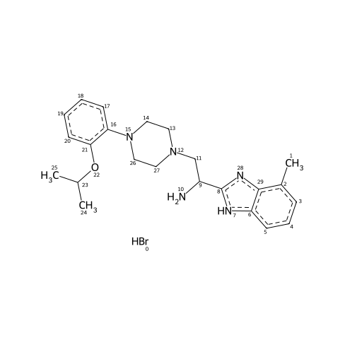 Br.Cc1cccc2[nH]c(C(N)CN3CCN(c4ccccc4OC(C)C)CC3)nc12